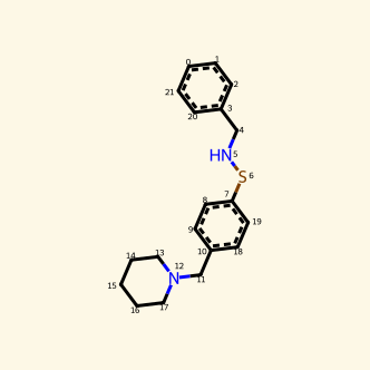 c1ccc(CNSc2ccc(CN3CCCCC3)cc2)cc1